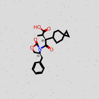 CC(C(=O)O)[C@H](C(=O)N1C(=O)OC[C@@H]1Cc1ccccc1)C1CCC2(CC1)CC2